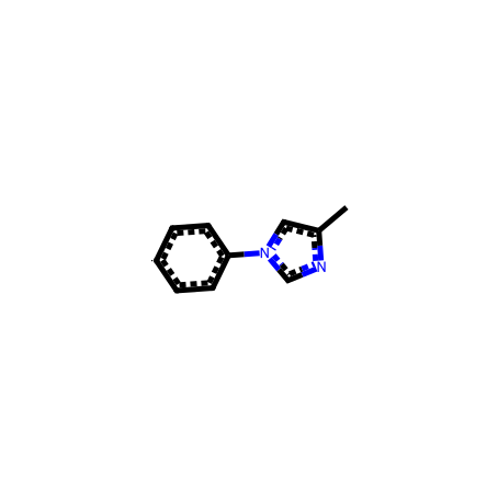 Cc1cn(-c2cc[c]cc2)cn1